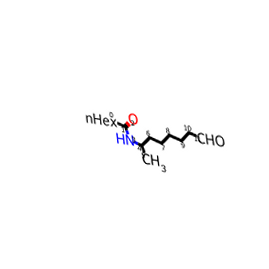 CCCCCCC(=O)NC(C)CCCCCC=O